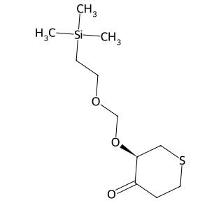 C[Si](C)(C)CCOCO[C@H]1CSCCC1=O